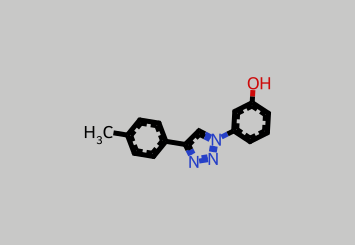 Cc1ccc(-c2cn(-c3cccc(O)c3)nn2)cc1